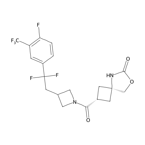 O=C1N[C@]2(CO1)C[C@@H](C(=O)N1CC(CC(F)(F)c3ccc(F)c(C(F)(F)F)c3)C1)C2